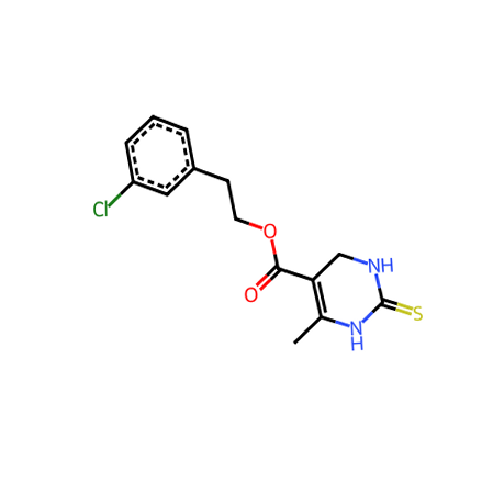 CC1=C(C(=O)OCCc2cccc(Cl)c2)CNC(=S)N1